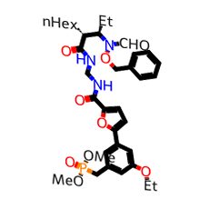 CCCCCC[C@@H](C(=O)NCNC(=O)c1ccc(-c2cc(CP(=O)(OC)OC)cc(OCC)c2)o1)[C@@H](CC)N(C=O)OCc1ccccc1